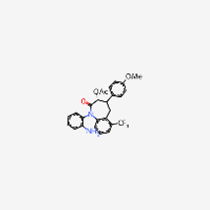 COc1ccc(C2Cc3c(cccc3C(F)(F)F)N(c3ccccc3N)C(=O)[C@@H]2OC(C)=O)cc1